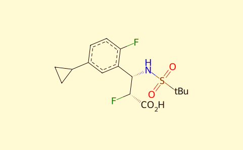 CC(C)(C)S(=O)(=O)N[C@@H](c1cc(C2CC2)ccc1F)[C@@H](F)C(=O)O